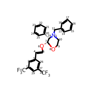 FC(F)(F)c1cc(C=CO[C@H]2OCCN(Cc3ccccc3)[C@H]2c2ccccc2)cc(C(F)(F)F)c1